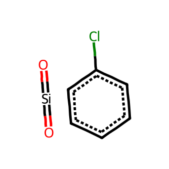 Clc1ccccc1.O=[Si]=O